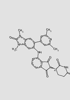 Cc1cc(-c2cc3c(cc2Nc2cccc4c2C(=O)N([C@@H]2CCC(=O)NC2=O)C4=O)n(C)c(=O)n3C)cc(C)n1